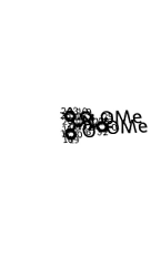 COc1ccc(C(=O)N2CCCCC2CC(c2ccccc2)c2ccccc2)cc1OC